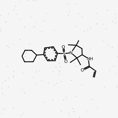 C=CC(=O)NC1CC(C)(C)N(S(=O)(=O)c2ccc(C3CCCCC3)cc2)C1(C)C